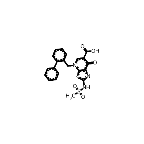 CS(=O)(=O)Nc1nc2c(=O)c(C(=O)O)cn(Cc3ccccc3-c3ccccc3)c2s1